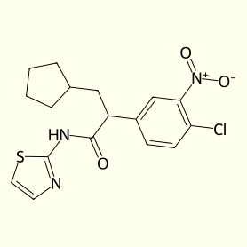 O=C(Nc1nccs1)C(CC1CCCC1)c1ccc(Cl)c([N+](=O)[O-])c1